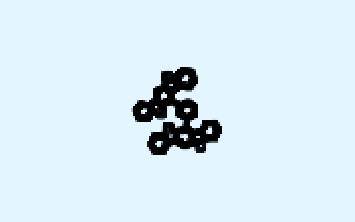 c1cc(-c2c3oc4ccccc4c3cc3oc4ccccc4c23)cc(-c2c3oc4ccccc4c3cc3oc4ccccc4c23)c1